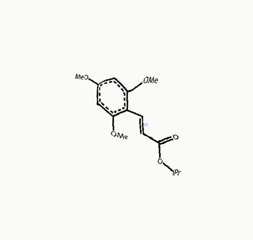 COc1cc(OC)c(/C=C/C(=O)OC(C)C)c(OC)c1